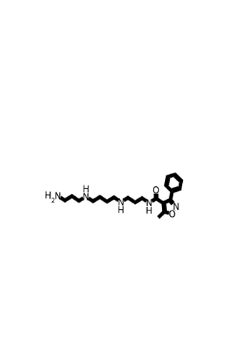 Cc1onc(-c2ccccc2)c1C(=O)NCCCNCCCCNCCCN